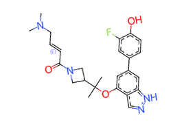 CN(C)C/C=C/C(=O)N1CC(C(C)(C)Oc2cc(-c3ccc(O)c(F)c3)cc3[nH]ncc23)C1